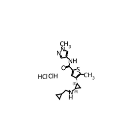 Cc1sc(C(=O)Nc2cnn(C)c2)cc1[C@@H]1C[C@H]1NCC1CC1.Cl.Cl